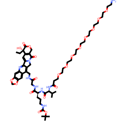 CC[C@@]1(O)C(=O)OCc2c1cc1n(c2=O)Cc2c-1nc1cc3c(cc1c2CNC(=O)CNC(=O)[C@H](CCCNC(=O)OC(C)(C)C)NC(=O)[C@@H](NC(=O)CCOCCOCCOCCOCCOCCOCCOCCOCCN)C(C)C)OCO3